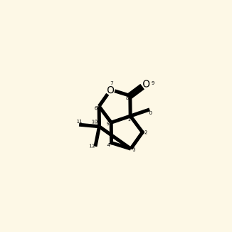 CC12CC3CC1C(OC2=O)C3(C)C